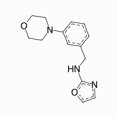 c1cc(CNc2ncco2)cc(N2CCOCC2)c1